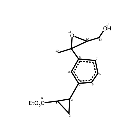 CCOC(=O)C1CC1c1cccc(C2(C)OC2CO)c1